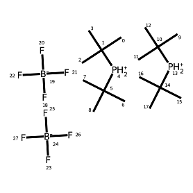 CC(C)(C)[PH2+]C(C)(C)C.CC(C)(C)[PH2+]C(C)(C)C.F[B-](F)(F)F.F[B-](F)(F)F